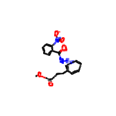 COC(=O)CCc1ccccc1.NC(=O)c1ccccc1[N+](=O)[O-]